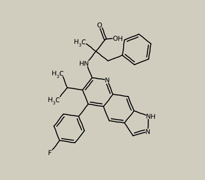 CC(C)c1c(NC(C)(Cc2ccccc2)C(=O)O)nc2cc3[nH]ncc3cc2c1-c1ccc(F)cc1